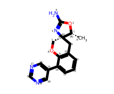 C[C@H]1OC(N)=N[C@@]12COc1c(cccc1-c1cncnc1)C2